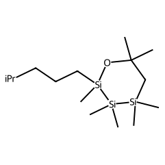 CC(C)CCC[Si]1(C)OC(C)(C)C[Si](C)(C)[Si]1(C)C